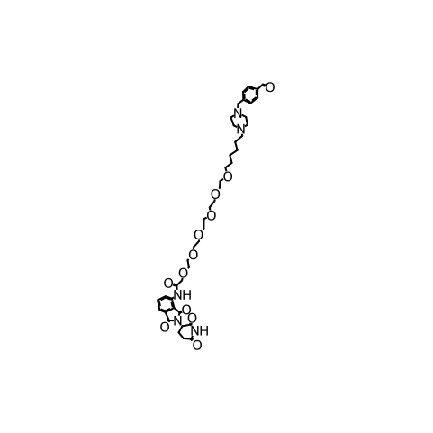 O=Cc1ccc(CN2CCN(CCCCCCOCCOCCOCCOCCOCCOCC(=O)Nc3cccc4c3C(=O)N(C3CCC(=O)NC3=O)C4=O)CC2)cc1